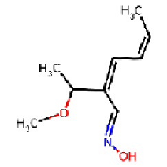 C\C=C/C=C(\C=N\O)C(C)OC